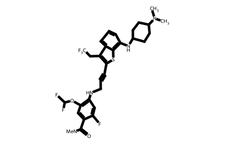 CNC(=O)c1cc(OC(F)F)c(NCC#Cc2sc3c(NC4CCC(N(C)C)CC4)cccc3c2CC(F)(F)F)cc1F